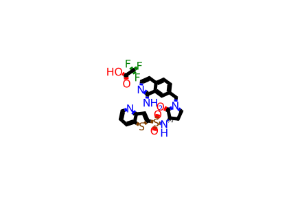 Nc1nccc2ccc(CN3CC[C@@H](NS(=O)(=O)c4cc5ncccc5s4)C3=O)cc12.O=C(O)C(F)(F)F